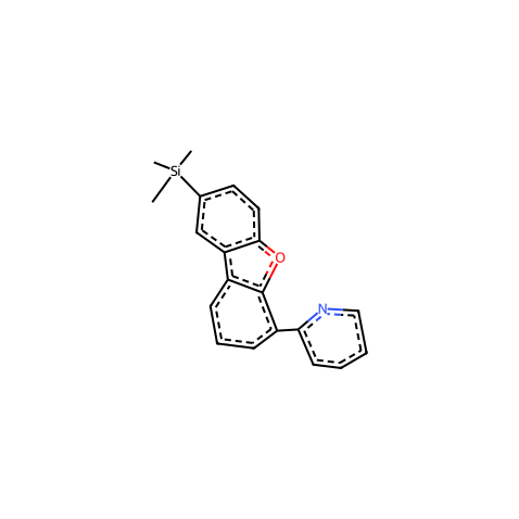 C[Si](C)(C)c1ccc2oc3c(-c4ccccn4)cccc3c2c1